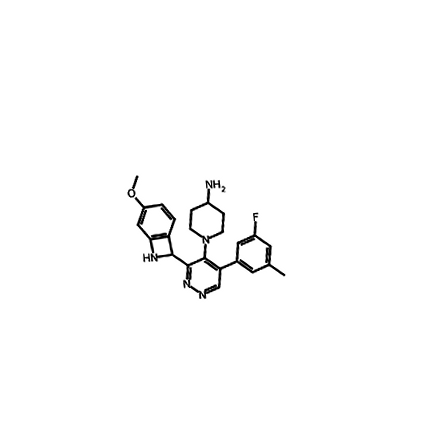 COc1ccc2c(c1)NC2c1nncc(-c2cc(C)cc(F)c2)c1N1CCC(N)CC1